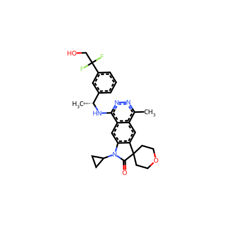 Cc1nnc(N[C@H](C)c2cccc(C(F)(F)CO)c2)c2cc3c(cc12)C1(CCOCC1)C(=O)N3C1CC1